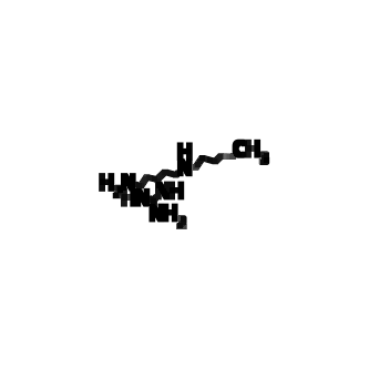 CCCCCCNCCC(CCN)NC(=N)N